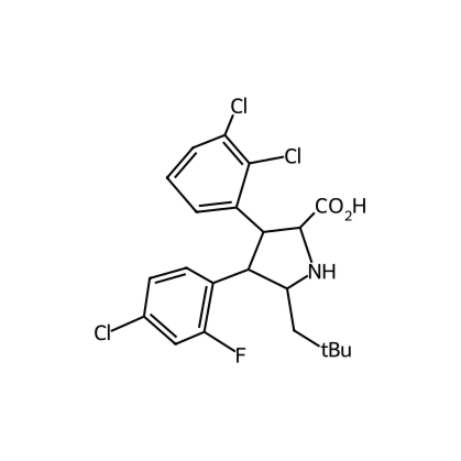 CC(C)(C)CC1NC(C(=O)O)C(c2cccc(Cl)c2Cl)C1c1ccc(Cl)cc1F